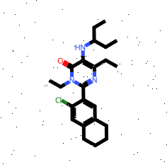 CCc1nc(-c2cc3c(cc2Cl)CCCC3)n(CC)c(=O)c1NC(CC)CC